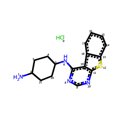 Cl.NC1CCC(Nc2ncnc3sc4ccccc4c23)CC1